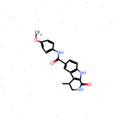 CC1CNC(=O)c2[nH]c3ccc(C(=O)Nc4ccc(OC(F)(F)F)cc4)cc3c21